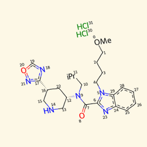 COCCCCn1c(C(=O)N(CC(C)C)[C@@H]2CNC[C@H](c3ncon3)C2)nc2ccccc21.Cl.Cl